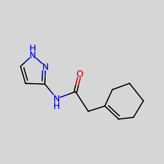 O=C(CC1=CCCCC1)Nc1cc[nH]n1